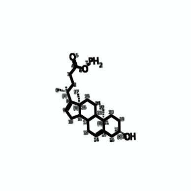 C[C@H](CCC(=O)OP)C1=CCC2C3CC=C4C[C@@H](O)CC[C@]4(C)C3CC[C@]12C